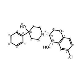 O[C@H]1c2cc(Cl)ccc2OC[C@H]1N1CCC(O)(c2ccccc2)CC1